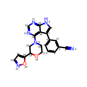 N#Cc1cccc(-c2c[nH]c3ncnc(N4CCOC(c5ccno5)C4)c23)c1